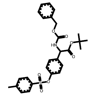 Cc1ccc(S(=O)(=O)Oc2ccc(C(NC(=O)OCc3ccccc3)C(=O)OC(C)(C)C)cc2)cc1